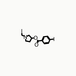 O=C(OC1CCN(CI)C1)c1ccc(I)cc1